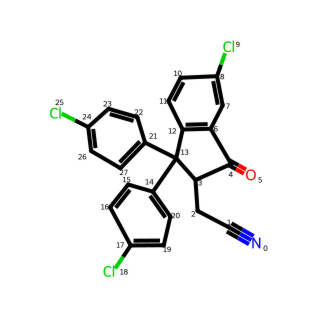 N#CCC1C(=O)c2cc(Cl)ccc2C1(c1ccc(Cl)cc1)c1ccc(Cl)cc1